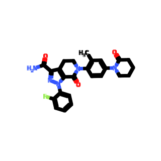 Cc1cc(N2CCCCC2=O)ccc1N1CCc2c(C(N)=O)nn(-c3ccccc3F)c2C1=O